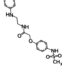 CS(=O)(=O)Nc1ccc(OCC(=O)NCCNc2ccccc2)cc1